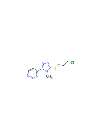 Cn1c(SCCCCl)nnc1-c1ccncn1